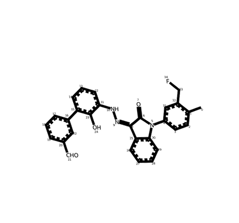 Cc1ccc(N2C(=O)/C(=N\Nc3cccc(-c4cccc(C=O)c4)c3O)c3ccccc32)cc1CF